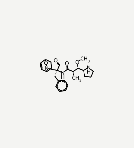 CO[C@@H]([C@@H]1CCCN1)[C@@H](C)C(=O)N[C@@](C=O)(Cc1ccccc1)N1OC2C=CC1CC2